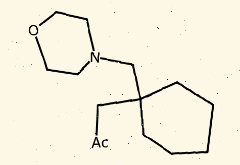 CC(=O)CC1(CN2CCOCC2)CCCCC1